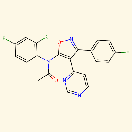 CC(=O)N(c1ccc(F)cc1Cl)c1onc(-c2ccc(F)cc2)c1-c1ccncn1